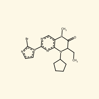 CCC1C(=O)N(C)c2cnc(-n3ccnc3Br)nc2N1C1CCCC1